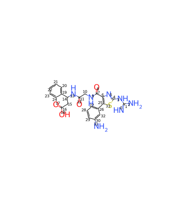 N=C(N)Nc1nc(C(=O)NCC(=O)NC(CC(=O)O)c2ccccc2)c(-c2cccc(N)c2)s1